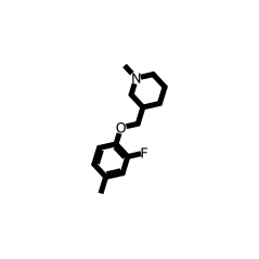 Cc1ccc(OCC2CCCN(C)C2)c(F)c1